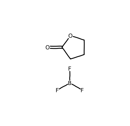 FB(F)F.O=C1CCCO1